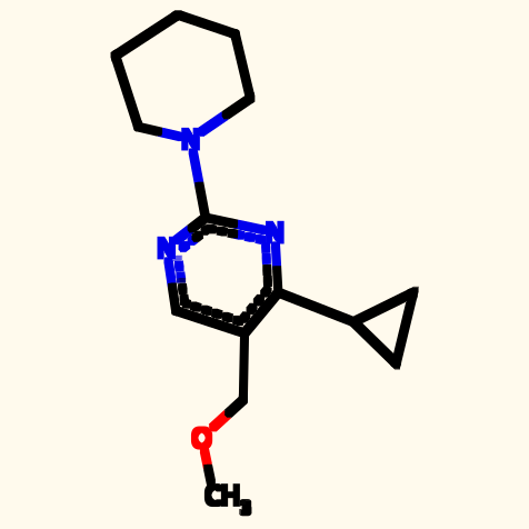 COCc1cnc(N2CCCCC2)nc1C1CC1